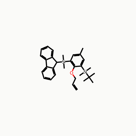 C=CCOc1c([Si](C)(C)C2c3ccccc3-c3ccccc32)cc(C)cc1[Si](C)(C)C(C)(C)C